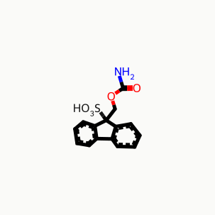 NC(=O)OCC1(S(=O)(=O)O)c2ccccc2-c2ccccc21